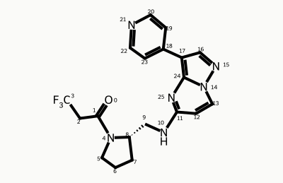 O=C(CC(F)(F)F)N1CCC[C@H]1CNc1ccn2ncc(-c3ccncc3)c2n1